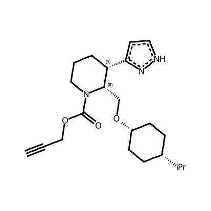 C#CCOC(=O)N1CCC[C@H](c2cc[nH]n2)[C@@H]1CO[C@H]1CC[C@@H](C(C)C)CC1